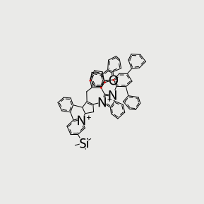 C[Si](C)(C)c1ccc2[n+](c1)C1CC3=C(Cc4ccc5c(oc6ccccc65)c4-c4n(-c5c(-c6ccccc6)cc(-c6ccccc6)cc5-c5ccccc5)c5ccccc5[n+]43)C1c1ccccc1-2